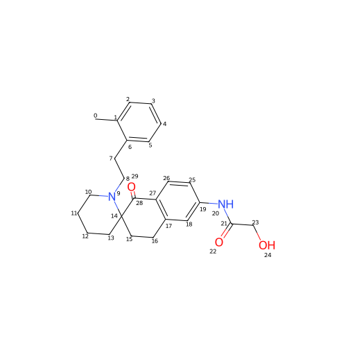 Cc1ccccc1CCN1CCCCC12CCc1cc(NC(=O)CO)ccc1C2=O